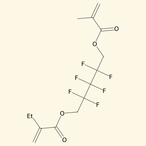 C=C(C)C(=O)OCC(F)(F)C(F)(F)C(F)(F)COC(=O)C(=C)CC